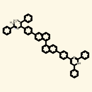 N/C(=N\C(c1ccc(-c2ccc3c(-c4cccc5cc(-c6ccc(C7=CC(c8ccccc8)NC(c8ccccc8)=N7)cc6)ccc45)cccc3c2)cc1)[C@@H](N)c1ccccc1)c1ccccc1